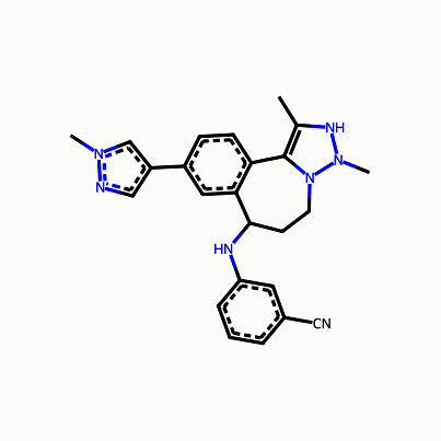 CC1=C2c3ccc(-c4cnn(C)c4)cc3C(Nc3cccc(C#N)c3)CCN2N(C)N1